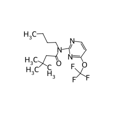 CCCCN(C(=O)CC(C)(C)C)c1nccc(OC(F)(F)F)n1